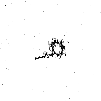 CCCCCCCC(=O)SCC/C=C/C1CC(=O)NCc2nc(cs2)/C(SC)=N/C(C)C(=O)NCC(=O)N1